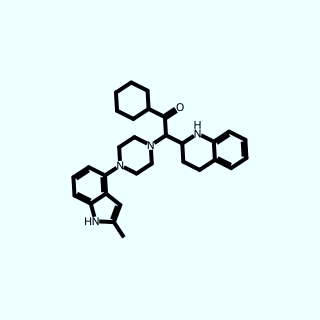 Cc1cc2c(N3CCN(C(C(=O)C4CCCCC4)C4CCc5ccccc5N4)CC3)cccc2[nH]1